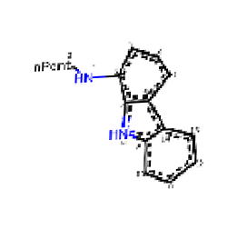 CCCCCNc1cccc2c1[nH]c1ccccc12